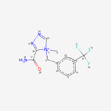 C[N+]1(Cc2cccc(C(F)(F)F)c2)C=NN=C1C(N)=O